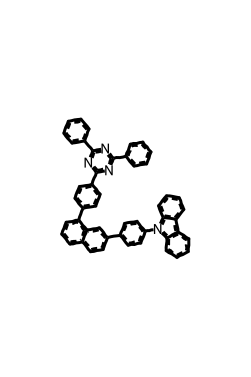 c1ccc(-c2nc(-c3ccccc3)nc(-c3ccc(-c4cccc5ccc(-c6ccc(-n7c8ccccc8c8ccccc87)cc6)cc45)cc3)n2)cc1